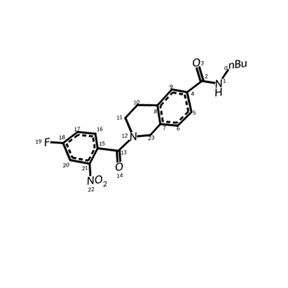 CCCCNC(=O)c1ccc2c(c1)CCN(C(=O)c1ccc(F)cc1[N+](=O)[O-])C2